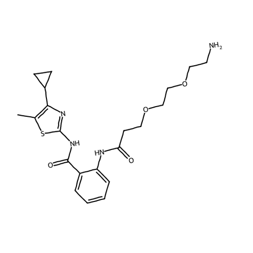 Cc1sc(NC(=O)c2ccccc2NC(=O)CCOCCOCCN)nc1C1CC1